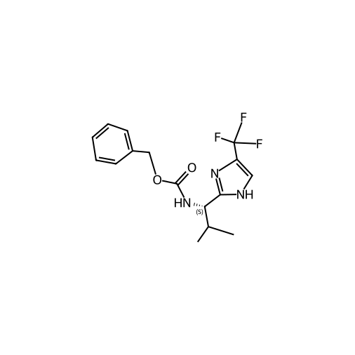 CC(C)[C@H](NC(=O)OCc1ccccc1)c1nc(C(F)(F)F)c[nH]1